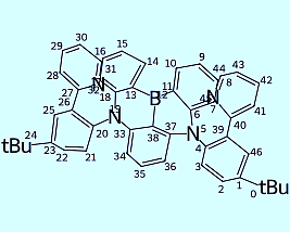 CC(C)(C)c1ccc(N2c3ccccc3B3c4ccccc4N(c4ccc(C(C)(C)C)cc4-c4ccccn4)c4cccc2c43)c(-c2ccccn2)c1